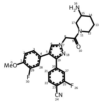 COc1ccc(-c2cn(CC(=O)N3CCCC(N)C3)nc2-c2ccc(C#N)c(F)c2)cc1F